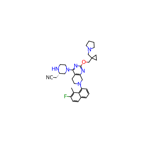 Cc1c(F)ccc2cccc(N3CCc4c(nc(OCC5(CN6CCCC6)CC5)nc4N4CCN[C@@H](CC#N)C4)C3)c12